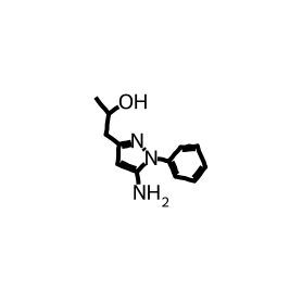 CC(O)Cc1cc(N)n(-c2ccccc2)n1